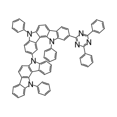 c1ccc(-c2nc(-c3ccccc3)nc(-c3ccc4c5ccc6c(c7cc(-n8c9ccccc9c9c8ccc8c%10ccccc%10n(-c%10ccccc%10)c89)ccc7n6-c6ccccc6)c5n(-c5ccccc5)c4c3)n2)cc1